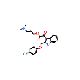 CN(C)CCCOC(=O)C(=O)c1c(COc2ccc(Cl)cc2)n(C)c2ccccc12